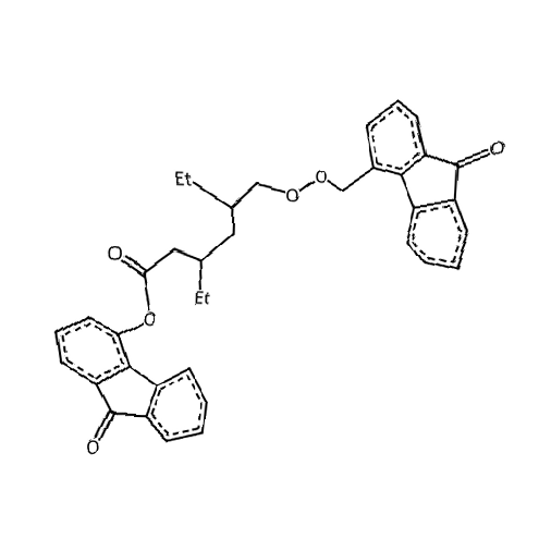 CCC(COOCc1cccc2c1-c1ccccc1C2=O)CC(CC)CC(=O)Oc1cccc2c1-c1ccccc1C2=O